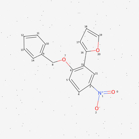 O=[N+]([O-])c1ccc(OCc2ccccc2)c(-c2ccco2)c1